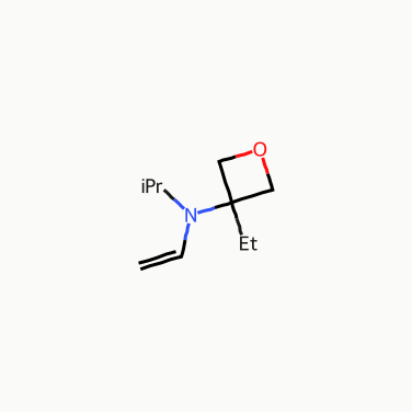 C=CN(C(C)C)C1(CC)COC1